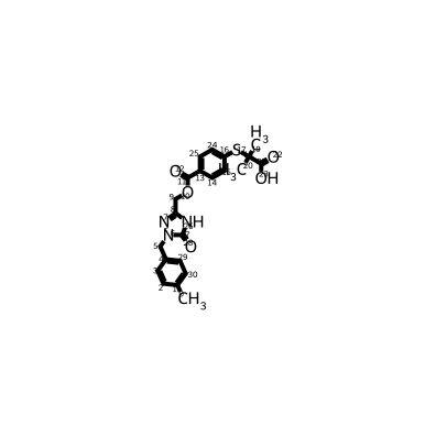 Cc1ccc(Cn2nc(COC(=O)c3ccc(SC(C)(C)C(=O)O)cc3)[nH]c2=O)cc1